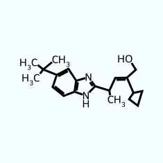 CC(/C=C(/CO)C1CCC1)c1nc2cc(C(C)(C)C)ccc2[nH]1